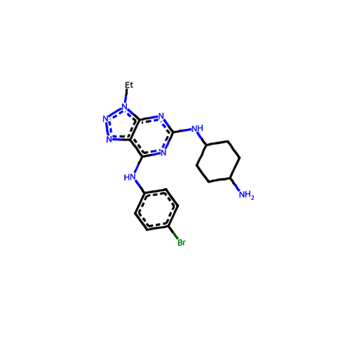 CCn1nnc2c(Nc3ccc(Br)cc3)nc(NC3CCC(N)CC3)nc21